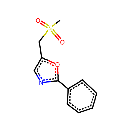 CS(=O)(=O)Cc1cnc(-c2ccccc2)o1